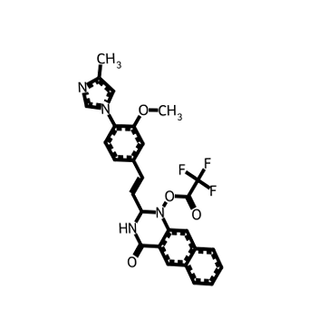 COc1cc(C=CC2NC(=O)c3cc4ccccc4cc3N2OC(=O)C(F)(F)F)ccc1-n1cnc(C)c1